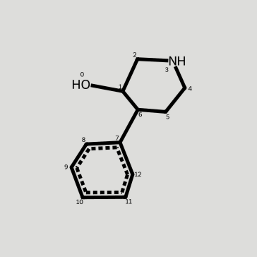 OC1CNCCC1c1ccccc1